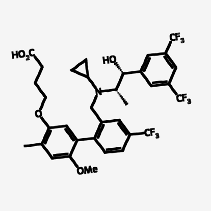 COc1cc(C)c(OCCCC(=O)O)cc1-c1ccc(C(F)(F)F)cc1CN(C1CC1)[C@@H](C)[C@H](O)c1cc(C(F)(F)F)cc(C(F)(F)F)c1